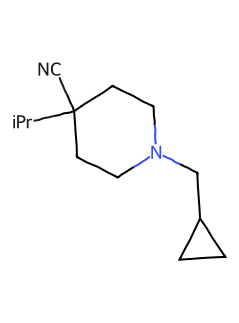 CC(C)C1(C#N)CCN(CC2CC2)CC1